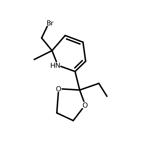 CCC1(C2=CC=CC(C)(CBr)N2)OCCO1